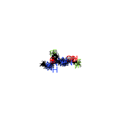 O=C(CCC(F)(F)F)N[C@H](O)c1ccn2cc([C@@H](NC(=O)c3cnn(CC4CC4)n3)C3CCC(F)(F)CC3)nc2n1